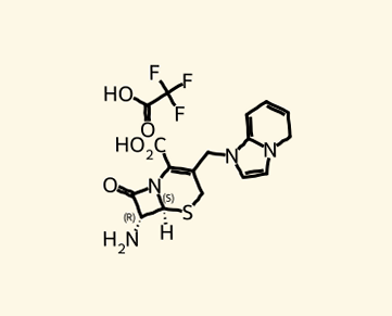 N[C@@H]1C(=O)N2C(C(=O)O)=C(CN3C=CN4CC=CC=C43)CS[C@@H]12.O=C(O)C(F)(F)F